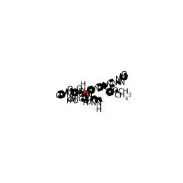 CC(C)Oc1ccccc1[C@@H]1CN(c2cnc3c(n2)COCC3)CCN1C1CC2(CCN(c3ccc(C(=O)NS(=O)(=O)c4cc5c(c([N+](=O)[O-])c4)N[C@H](C4CCOCC4)CO5)c(N4c5cc6cc[nH]c6nc5O[C@H]5COCC[C@@H]54)c3)CC2)C1